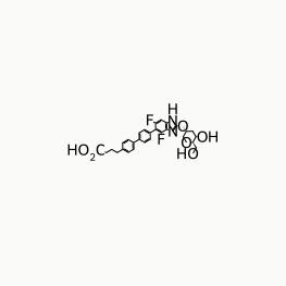 O=C(O)CCCc1ccc(-c2ccc(-c3c(F)cc4[nH]c(O[C@H]5CO[C@H](CO)[C@@H](O)C5)nc4c3F)cc2)cc1